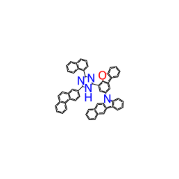 c1ccc2cc3c(cc2c1)c1ccccc1n3-c1cc(C2=NC(c3cccc4ccccc34)=NC(c3ccc4c(ccc5ccccc54)c3)N2)c2oc3ccccc3c2c1